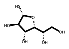 OC[C@H](O)[C@H]1O[C@@H](S)[C@H](O)[C@H]1O